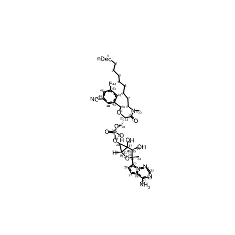 CCCCCCCCCCCCCCCCCCN(C)C(=O)[C@H](COP(=O)(O)OC1[C@H]2O[C@@](C)(c3ccc4c(N)ncnn34)[C@H](O)[C@@]12O)OCc1cc(F)cc(C#N)c1